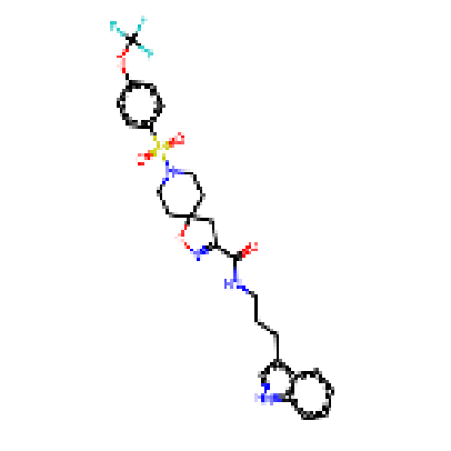 O=C(NCCCc1c[nH]c2ccccc12)C1=NOC2(CCN(S(=O)(=O)c3ccc(OC(F)(F)F)cc3)CC2)C1